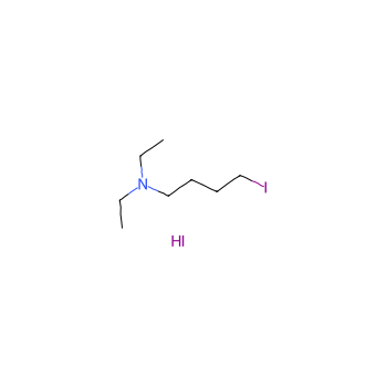 CCN(CC)CCCCI.I